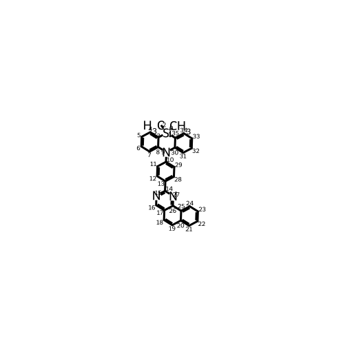 C[Si]1(C)c2ccccc2N(c2ccc(-c3ncc4ccc5ccccc5c4n3)cc2)c2ccccc21